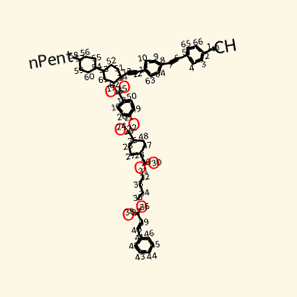 C#Cc1ccc(C#Cc2ccc(C#CC3(OC(=O)c4ccc(OC(=O)C5CCC(C(=O)OCCCCOC(=O)/C=C/c6ccccc6)CC5)cc4)CCC(C4CCC(CCCCC)CC4)CC3)cc2)cc1